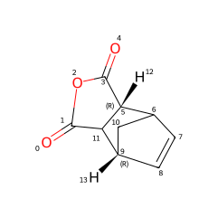 O=C1OC(=O)[C@@H]2C3C=C[C@@H](C3)C12